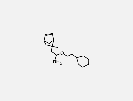 CC1(CC(N)OCCC2CCCCC2)CC2C=CC1C2